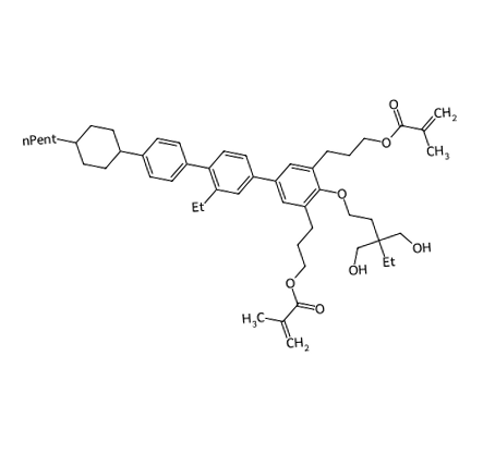 C=C(C)C(=O)OCCCc1cc(-c2ccc(-c3ccc(C4CCC(CCCCC)CC4)cc3)c(CC)c2)cc(CCCOC(=O)C(=C)C)c1OCCC(CC)(CO)CO